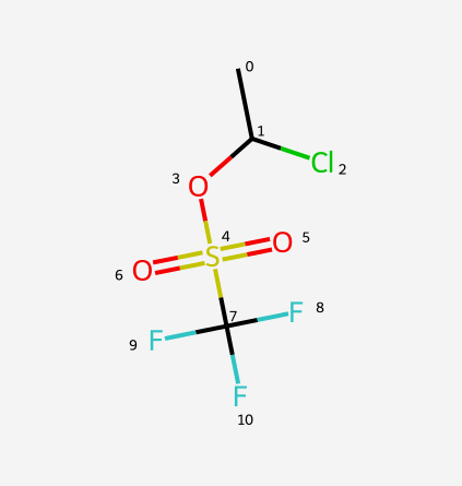 CC(Cl)OS(=O)(=O)C(F)(F)F